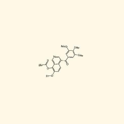 CCOc1ccc2c(C(=O)c3cc(OC)c(OC)c(OC)c3)cncc2c1OC(=O)C(C)(C)C